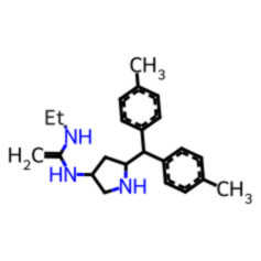 C=C(NCC)NC1CNC(C(c2ccc(C)cc2)c2ccc(C)cc2)C1